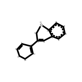 C1=CC(C2=Cc3ccccc3OC2)=CCC1